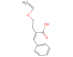 C=COCCC(=Cc1ccccc1)C(=O)O